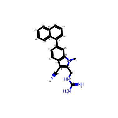 Cn1c(CNC(=N)N)c(C#N)c2ccc(-c3cccc4ccccc34)cc21